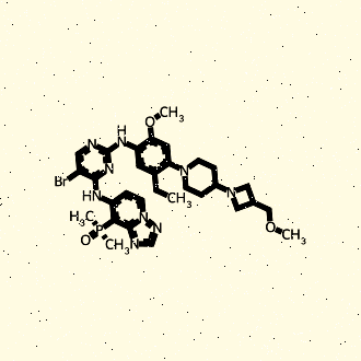 CCc1cc(Nc2ncc(Br)c(Nc3ccn4ncnc4c3P(C)(C)=O)n2)c(OC)cc1N1CCC(N2CC(COC)C2)CC1